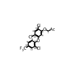 CC(=O)COc1cc(Oc2ccc(C(F)(F)F)cc2Cl)c(Cl)cc1Cl